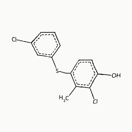 Cc1c(Sc2cccc(Cl)c2)ccc(O)c1Cl